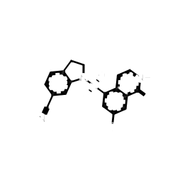 N#Cc1ccc2c(c1)N(S(=O)(=O)c1cc(Cl)cc3c(=O)[nH]ccc13)CC2